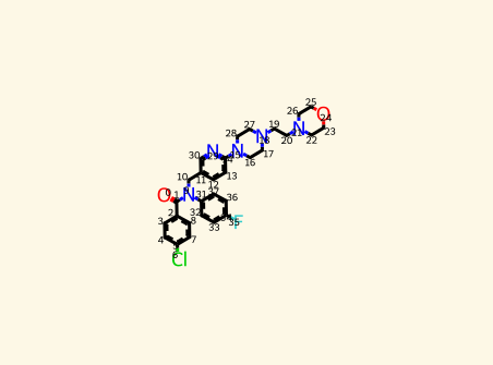 O=C(c1ccc(Cl)cc1)N(Cc1ccc(N2CCN(CCN3CCOCC3)CC2)nc1)c1ccc(F)cc1